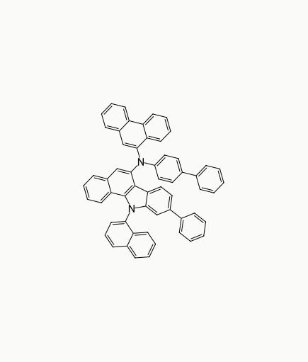 c1ccc(-c2ccc(N(c3cc4ccccc4c4ccccc34)c3cc4ccccc4c4c3c3ccc(-c5ccccc5)cc3n4-c3cccc4ccccc34)cc2)cc1